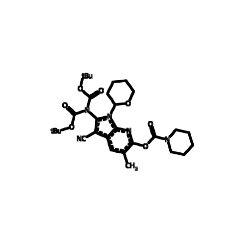 Cc1cc2c(C#N)c(N(C(=O)OC(C)(C)C)C(=O)OC(C)(C)C)n(C3CCCCO3)c2nc1OC(=O)N1CCCCC1